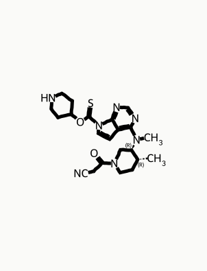 C[C@@H]1CCN(C(=O)CC#N)C[C@@H]1N(C)c1ncnc2c1ccn2C(=S)OC1CCNCC1